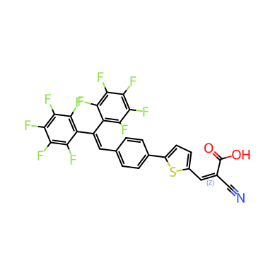 N#C/C(=C/c1ccc(-c2ccc(C=C(c3c(F)c(F)c(F)c(F)c3F)c3c(F)c(F)c(F)c(F)c3F)cc2)s1)C(=O)O